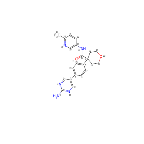 Nc1ncc(-c2ccc(C3(C(=O)Nc4ccc(C(F)(F)F)nc4)CCOCC3)cc2)cn1